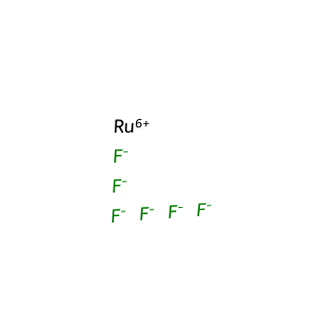 [F-].[F-].[F-].[F-].[F-].[F-].[Ru+6]